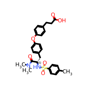 Cc1ccc(S(=O)(=O)N[C@@H](Cc2ccc(Oc3ccc(CCC(=O)O)cc3)cc2)C(=O)N(C)C)cc1